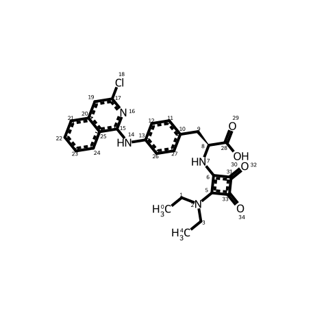 CCN(CC)c1c(N[C@@H](Cc2ccc(Nc3nc(Cl)cc4ccccc34)cc2)C(=O)O)c(=O)c1=O